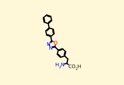 NC(Cc1ccc(-c2nnc(-c3ccc(-c4ccccc4)cc3)o2)cc1)C(=O)O